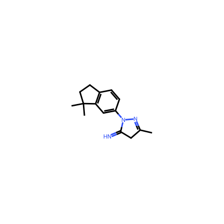 CC1=NN(c2ccc3c(c2)C(C)(C)CC3)C(=N)C1